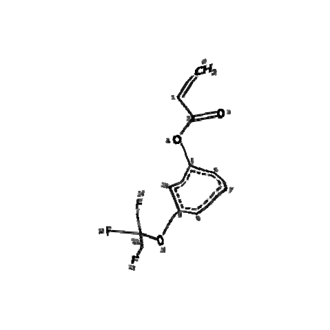 C=CC(=O)Oc1cccc(OC(F)(F)F)c1